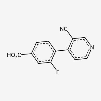 N#Cc1cnccc1-c1ccc(C(=O)O)cc1F